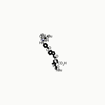 CCCCOC(=O)c1cc(CN(CCC(=O)O)C(=O)CC2CCc3cc(OC(=O)c4ccc(N/C(=N/C(=O)OC(C)(C)C)NC(=O)OC(C)(C)C)cc4)ccc32)cs1